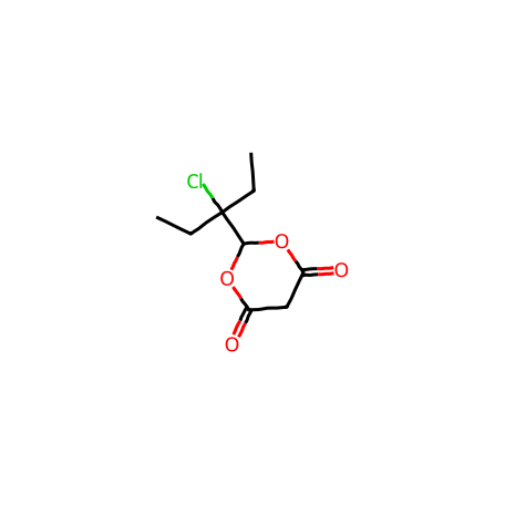 CCC(Cl)(CC)C1OC(=O)CC(=O)O1